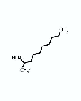 [CH2]CCCCCCCC([CH2])N